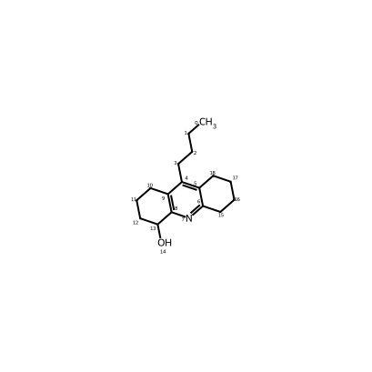 CCCCc1c2c(nc3c1CCCC3O)CCCC2